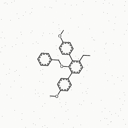 CCc1[c]cc(-c2ccc(OC)cc2)c(OCc2ccccc2)c1-c1ccc(OC)cc1